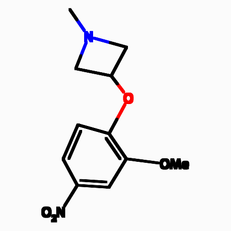 COc1cc([N+](=O)[O-])ccc1OC1CN(C)C1